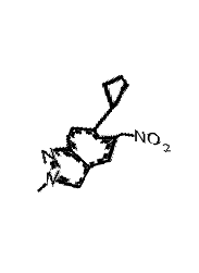 Cn1cc2cc([N+](=O)[O-])c(C3CC3)cc2n1